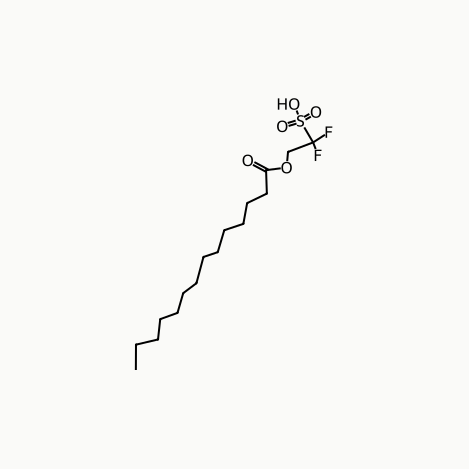 CCCCCCCCCCCCCC(=O)OCC(F)(F)S(=O)(=O)O